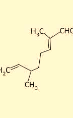 C=CC(C)CCC=C(C)C=O